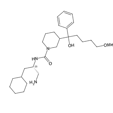 COCCCCC(O)(c1ccccc1)C1CCCN(C(=O)N[C@H](CN)CC2CCCCC2)C1